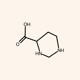 O=C(O)C1CCNCN1